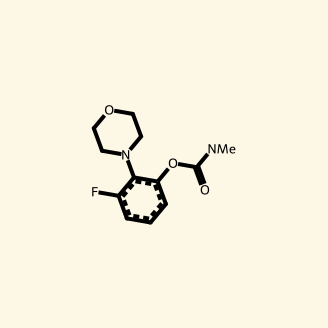 CNC(=O)Oc1cccc(F)c1N1CCOCC1